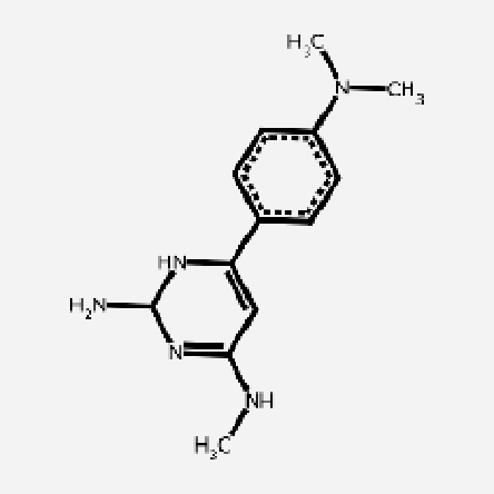 CNC1=NC(N)NC(c2ccc(N(C)C)cc2)=C1